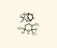 CCC1(C)CCC(C)C(C)(CC)N1.O=S1(=O)Cc2ccc(cc2)N1